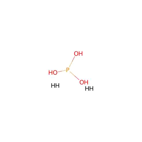 OP(O)O.[HH].[HH]